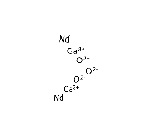 [Ga+3].[Ga+3].[Nd].[Nd].[O-2].[O-2].[O-2]